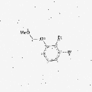 CCc1c(Br)cccc1OCOC